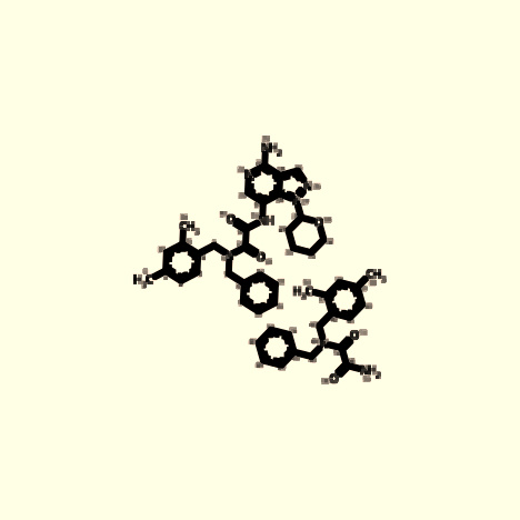 Cc1ccc(CN(Cc2ccccc2)C(=O)C(=O)Nc2cnc(N)c3cnn(C4CCCCO4)c23)c(C)c1.Cc1ccc(CN(Cc2ccccc2)C(=O)C(N)=O)c(C)c1